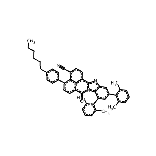 CCCCCCc1ccc(-c2ccc3c(=O)n4c(nc5cc(-c6c(C)cccc6C)cc(-c6c(C)cccc6C)c54)c4ccc(C#N)c2c34)cc1